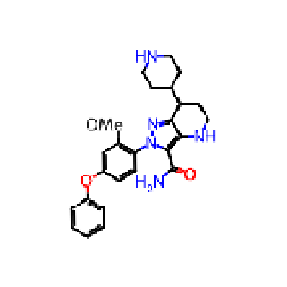 COc1cc(Oc2ccccc2)ccc1-n1nc2c(c1C(N)=O)NCCC2C1CCNCC1